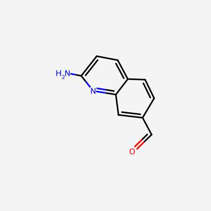 Nc1ccc2ccc(C=O)cc2n1